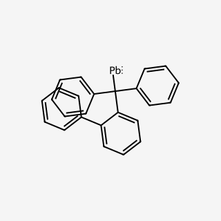 [Pb][C](c1ccccc1)(c1ccccc1)c1ccccc1-c1ccccc1